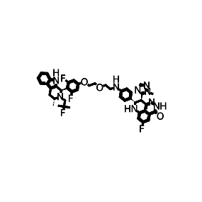 C[C@@H]1Cc2c([nH]c3ccccc23)[C@@H](c2c(F)cc(OCCOCCNc3ccc([C@H]4Nc5cc(F)cc6c(=O)[nH]nc(c56)[C@@H]4c4ncnn4C)cc3)cc2F)N1CC(C)(C)F